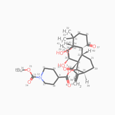 C=C1C(=O)[C@]23[C@H](OC(=O)C4CCN(C(=O)OC(C)(C)C)CC4)[C@H]1CC[C@H]2[C@@]12CO[C@]3(O)[C@@H](O)[C@@H]1C(C)(C)CCC2=O